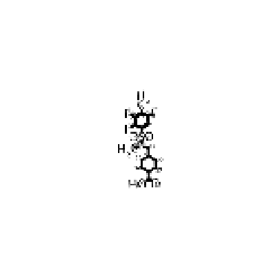 Cc1c(F)cc(S(=O)(=O)N(C)CC2CCC(C(=O)O)CC2)c(F)c1F